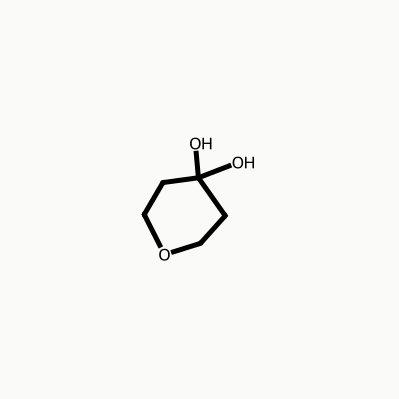 OC1(O)CCOCC1